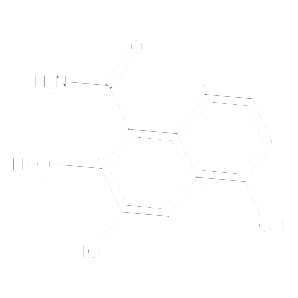 NC(=O)c1c(C(=O)O)c(O)cc2c(O)cccc12